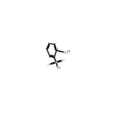 I.O=S(=O)(O)c1ccccc1Cl